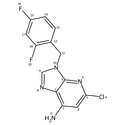 Nc1cc(Cl)nc2c1ncn2Cc1ccc(F)cc1F